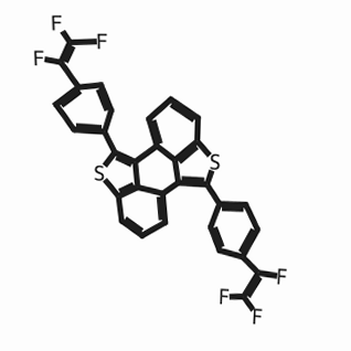 FC(F)=C(F)c1ccc(-c2sc3cccc4c5c(-c6ccc(C(F)=C(F)F)cc6)sc6cccc(c2c34)c65)cc1